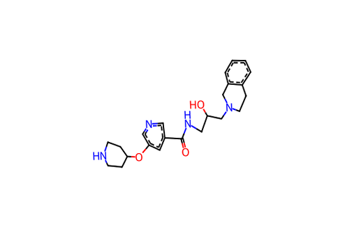 O=C(NCC(O)CN1CCc2ccccc2C1)c1cncc(OC2CCNCC2)c1